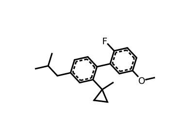 COc1ccc(F)c(-c2ccc(CC(C)C)cc2C2(C)CC2)c1